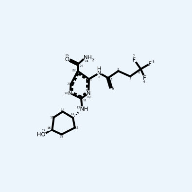 C=C(CCC(F)(F)F)Nc1nc(N[C@H]2CC[C@H](O)CC2)ncc1C(N)=O